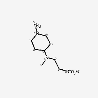 CCOC(=O)CCN(C)C1CCN(C(C)(C)C)CC1